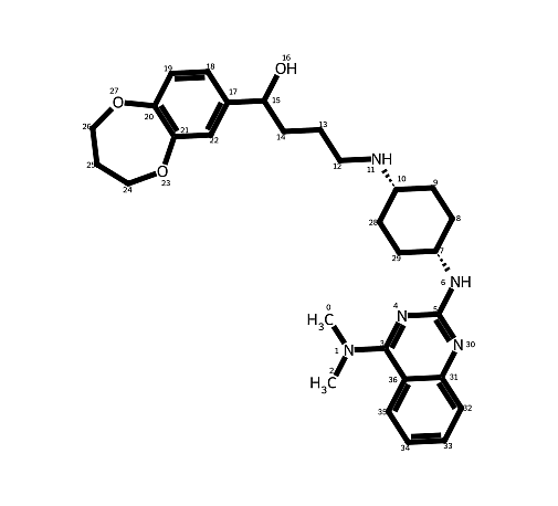 CN(C)c1nc(N[C@H]2CC[C@@H](NCCCC(O)c3ccc4c(c3)OCCCO4)CC2)nc2ccccc12